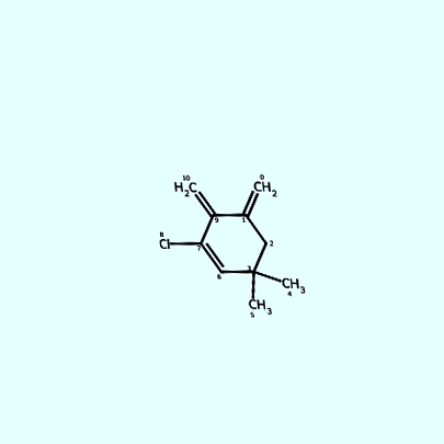 C=C1CC(C)(C)C=C(Cl)C1=C